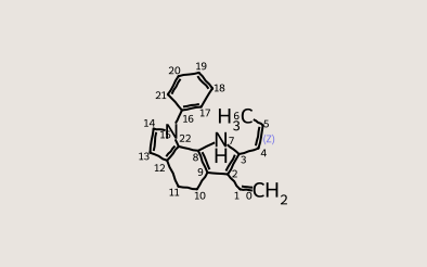 C=Cc1c(/C=C\C)[nH]c2c1CCc1ccn(-c3ccccc3)c1-2